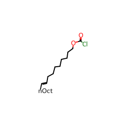 CCCCCCCCC=CCCCCCCCCOC(=O)Cl